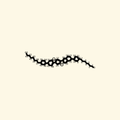 CCCCCCCCc1ccc(-c2ccc3cc4c(cc3c2)oc2cc3c(cc24)oc2cc(-c4ccc(CCCCCCCC)cc4)ccc23)cc1